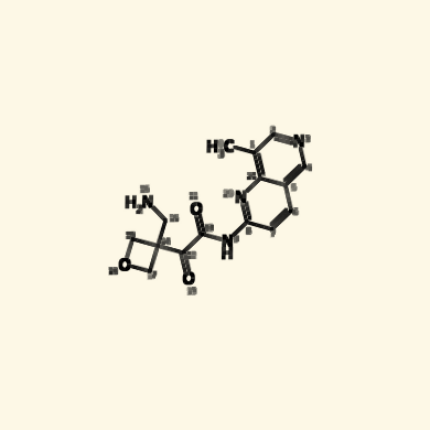 Cc1cncc2ccc(NC(=O)C(=O)C3(CN)COC3)nc12